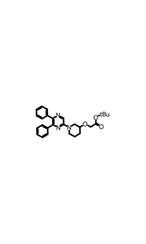 CC(C)(C)OC(=O)COC1CCCN(c2cnc(-c3ccccc3)c(-c3ccccc3)n2)C1